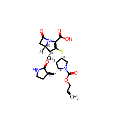 C=CCOC(=O)N1C[C@@H](SC2=C(C(=O)O)N3C(=O)C[C@H]3[C@H]2C)C[C@H]1/C=C1/CCNC1=O